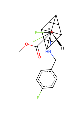 COC(=O)C1C2C3C4C(C5C2C5C(F)(F)C34)[C@@H]1NCc1ccc(F)cc1